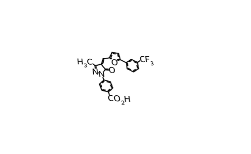 CC1=NN(c2ccc(C(=O)O)cc2)C(=O)/C1=C\c1ccc(-c2cccc(C(F)(F)F)c2)o1